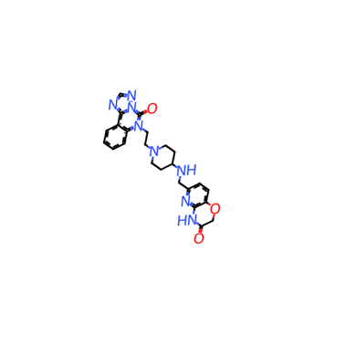 O=C1COc2ccc(CNC3CCN(CCn4c(=O)n5ncnc5c5ccccc54)CC3)nc2N1